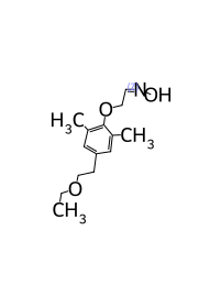 CCOCCc1cc(C)c(OC/C=N\O)c(C)c1